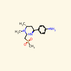 C[C@H](CC(=N)c1ccc(N)cc1)N(C)CCS(C)(=O)=O